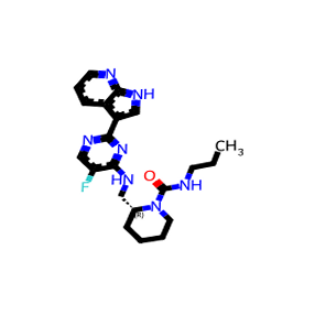 CCCNC(=O)N1CCCC[C@@H]1CNc1nc(-c2c[nH]c3ncccc23)ncc1F